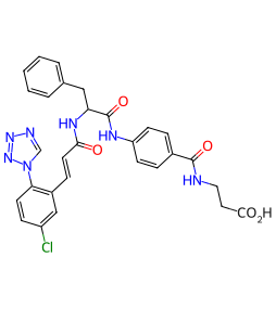 O=C(O)CCNC(=O)c1ccc(NC(=O)C(Cc2ccccc2)NC(=O)C=Cc2cc(Cl)ccc2-n2cnnn2)cc1